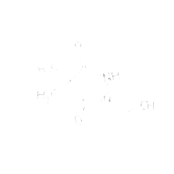 CCN1NC(=O)C(C)(C)C1=O